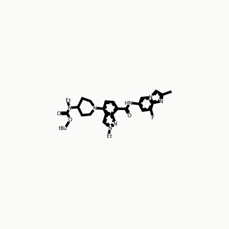 CCN(C(=O)OC(C)(C)C)C1CCN(c2ccc(C(=O)Nc3cc(F)c4nc(C)cn4c3)c3nn(CC)cc23)CC1